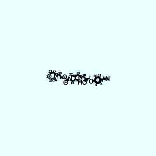 N#Cc1ccc(OC[C@@H](O)CN2CC3CN(C(=O)OCCN4CCOCC4)CC3C2)cc1